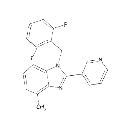 Cc1cccc2c1nc(-c1cccnc1)n2Cc1c(F)cccc1F